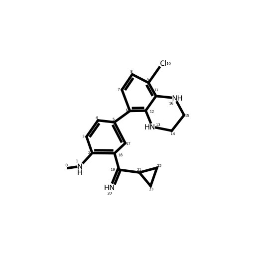 CNc1ccc(-c2ccc(Cl)c3c2NCCN3)cc1C(=N)C1CC1